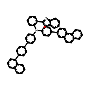 c1ccc(N(c2ccc(-c3ccc(-c4cccc5ccccc45)cc3)cc2)c2ccc(-c3ccc4c(ccc5ccccc54)c3)cc2)c(-c2cc3ccccc3o2)c1